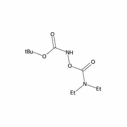 CCN(CC)C(=O)ONC(=O)OC(C)(C)C